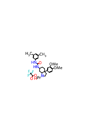 COc1ccc(C23CCC(NC(=O)Nc4cc(C)cc(C)c4)CC2N(C(C)C)CC3)cc1OC.O=C(O)C(F)(F)F